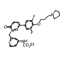 CCOC(=O)Nc1cccc(Cn2nc(-c3cc(F)c(OCCCN4CCCC4)c(F)c3)ccc2=O)c1